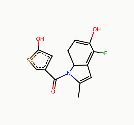 CC1=[C]C2=C(F)C(O)=CCC2N1C(=O)c1csc(O)c1